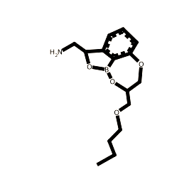 CCCCOCC1COc2cccc3c2B(O1)OC3CN